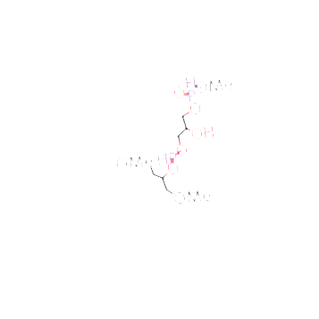 COCC(COC)OPOCC(O)CO[PH](=O)OC